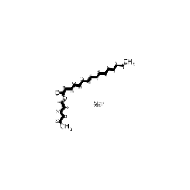 CCCCCCCCCCCCCCCC([O-])OCCCCCC.[Na+]